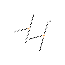 CCCCCCCCP(CCCCCCCC)CCCCCCCC.CCCCCCCCP(CCCCCCCC)CCCCCCCC.[Ni]